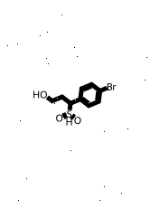 O=[SH](=O)C(CCO)c1ccc(Br)cc1